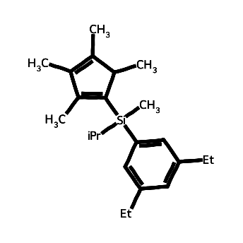 CCc1cc(CC)cc([Si](C)(C2=C(C)C(C)=C(C)C2C)C(C)C)c1